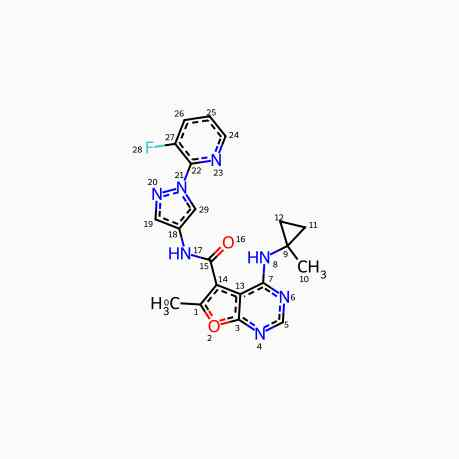 Cc1oc2ncnc(NC3(C)CC3)c2c1C(=O)Nc1cnn(-c2ncccc2F)c1